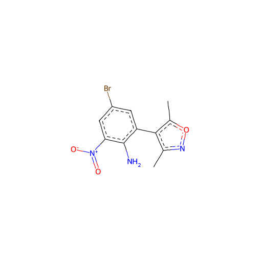 Cc1noc(C)c1-c1cc(Br)cc([N+](=O)[O-])c1N